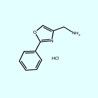 Cl.NCc1coc(-c2ccccc2)n1